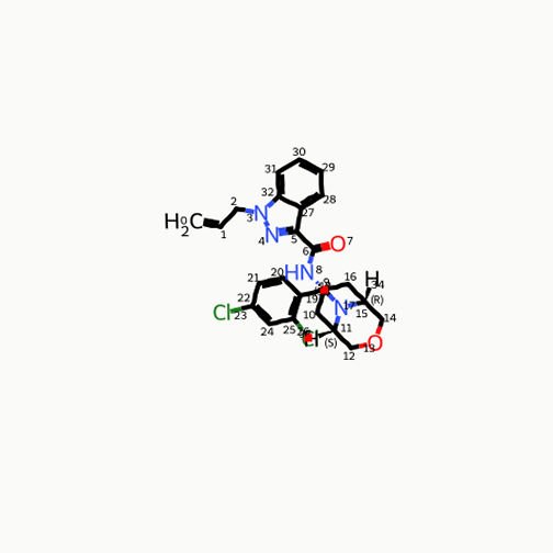 C=CCn1nc(C(=O)N[C@H]2C[C@H]3COC[C@@H](C2)N3Cc2ccc(Cl)cc2Cl)c2ccccc21